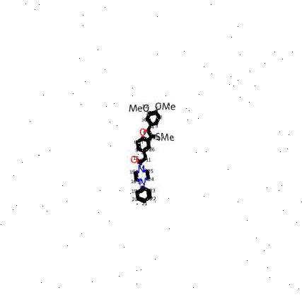 COc1ccc(-c2oc3ccc(CC(=O)N4CCN(c5ccccc5)CC4)cc3c2SC)cc1OC